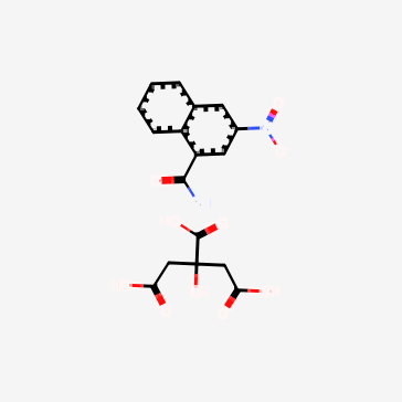 NC(=O)c1cc([N+](=O)[O-])cc2ccccc12.O=C(O)CC(O)(CC(=O)O)C(=O)O